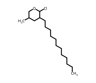 CCCCCCCCCCCCC1CC(C)COC1Cl